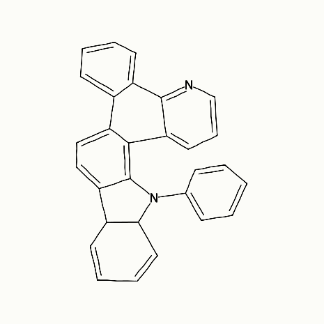 C1=CC2c3ccc4c5ccccc5c5ncccc5c4c3N(c3ccccc3)C2C=C1